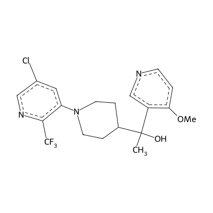 COc1ccncc1C(C)(O)C1CCN(c2cc(Cl)cnc2C(F)(F)F)CC1